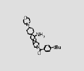 CC(C)(C)c1ccc(C(=O)N2CC3C(C2)C3CC2(C(N)=O)CCC(N3CCOCC3)CC2)cc1